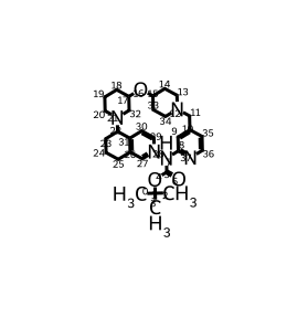 CC(C)(C)OC(=O)Nc1cc(CN2CCC(OC3CCCN(C4CCCc5cnccc54)C3)CC2)ccn1